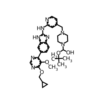 COc1c(OCC2CC2)ncnc1-c1ccc2nc(Nc3cc(CN4CCN(C(O)OC(C)(C)C)CC4)ccn3)[nH]c2c1